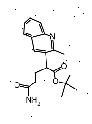 Cc1nc2ccccc2cc1C(CCC(N)=O)C(=O)OC(C)(C)C